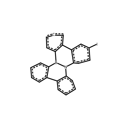 Ic1ccc2c(c1)-c1ccccc1B1c3ccccc3-c3ccccc3N12